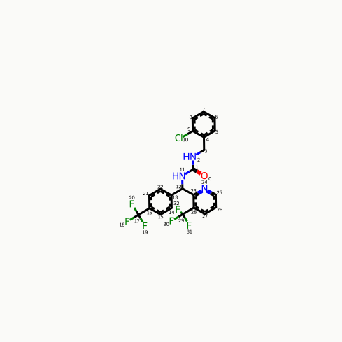 O=C(NCc1ccccc1Cl)NC(c1ccc(C(F)(F)F)cc1)c1ncccc1C(F)(F)F